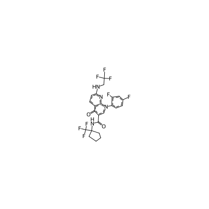 O=C(NC1(C(F)(F)F)CCCC1)c1cn(-c2ccc(F)cc2F)c2nc(NCC(F)(F)F)ccc2c1=O